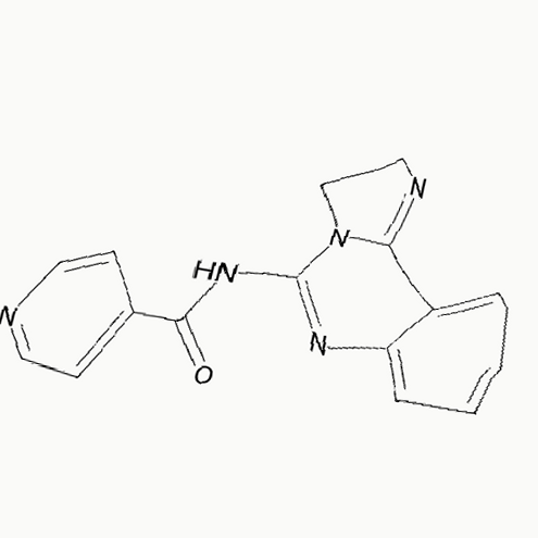 O=C(NC1=Nc2ccccc2C2=NCCN12)c1ccncc1